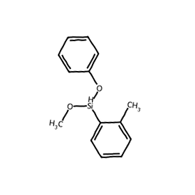 CO[SiH](Oc1ccccc1)c1ccccc1C